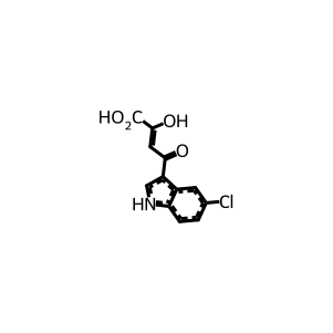 O=C(O)C(O)=CC(=O)c1c[nH]c2ccc(Cl)cc12